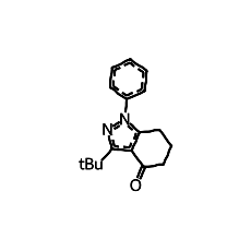 CC(C)(C)c1nn(-c2ccccc2)c2c1C(=O)CCC2